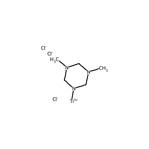 CN1CN(C)C[N]([Ti+3])C1.[Cl-].[Cl-].[Cl-]